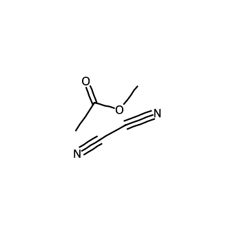 COC(C)=O.N#CC#N